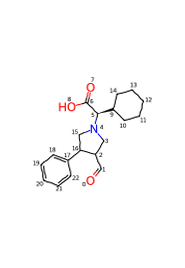 O=CC1CN([C@@H](C(=O)O)C2CCCCC2)CC1c1ccccc1